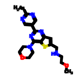 COCCNCc1cc2nc(-c3cnc([AsH2])nc3)nc(N3CCOCC3)c2s1